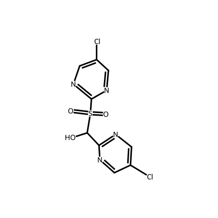 O=S(=O)(c1ncc(Cl)cn1)C(O)c1ncc(Cl)cn1